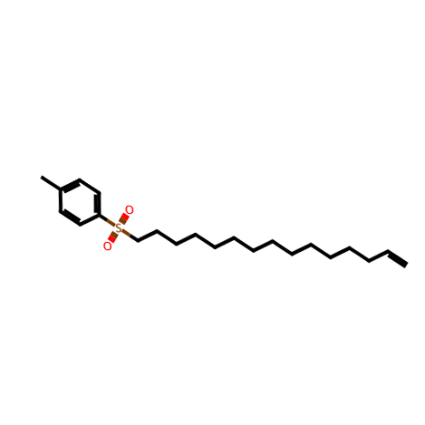 C=CCCCCCCCCCCCCCS(=O)(=O)c1ccc(C)cc1